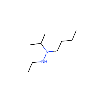 [CH2]CNN(CCCC)C(C)C